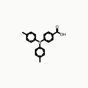 Cc1ccc(N(c2ccc(C)cc2)c2ccc(C(=O)O)cc2)cc1